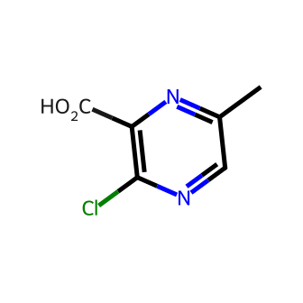 Cc1cnc(Cl)c(C(=O)O)n1